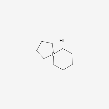 C1CC[P]2(CC1)CCCC2.I